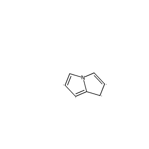 [C]1=Cn2c[c][c]c2[CH]1